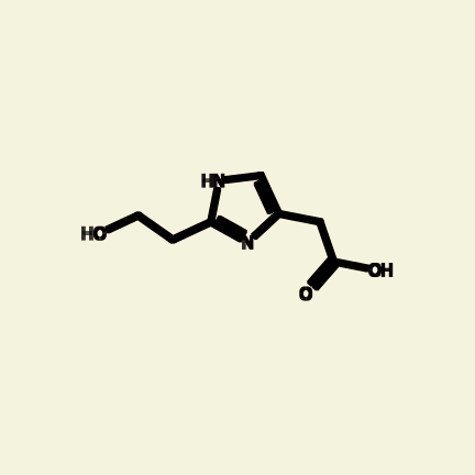 O=C(O)Cc1c[nH]c(CCO)n1